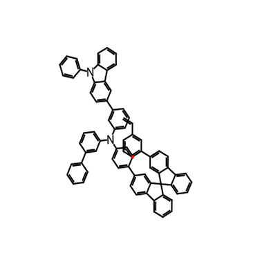 C=Cc1cccc(-c2ccc3c(c2)C2(c4ccccc4-c4ccc(-c5ccc(N(c6cccc(-c7ccccc7)c6)c6cccc(-c7ccc8c(c7)c7ccccc7n8-c7ccccc7)c6)cc5)cc42)c2ccccc2-3)c1